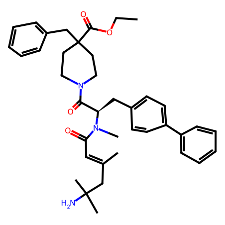 CCOC(=O)C1(Cc2ccccc2)CCN(C(=O)[C@@H](Cc2ccc(-c3ccccc3)cc2)N(C)C(=O)/C=C(\C)CC(C)(C)N)CC1